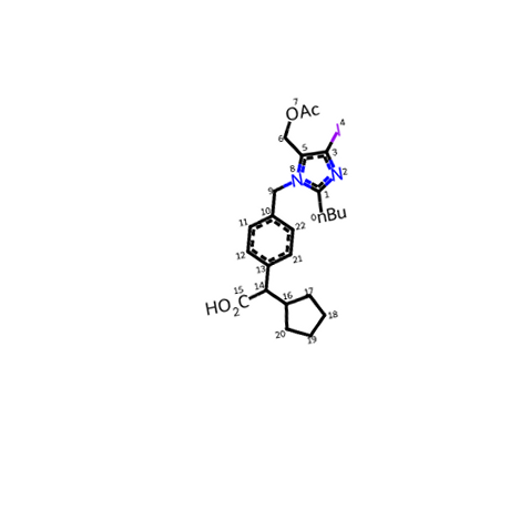 CCCCc1nc(I)c(COC(C)=O)n1Cc1ccc(C(C(=O)O)C2CCCC2)cc1